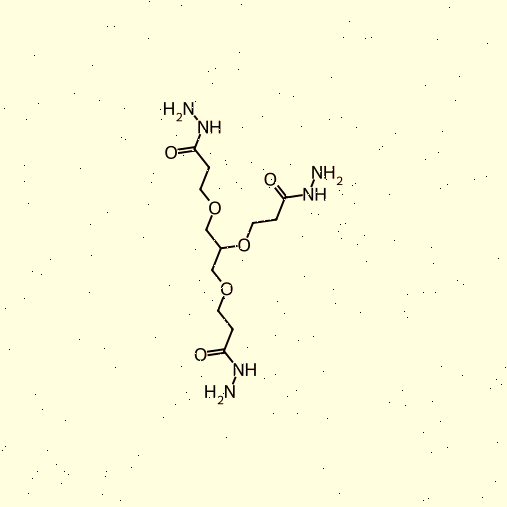 NNC(=O)CCOCC(COCCC(=O)NN)OCCC(=O)NN